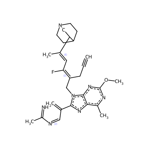 C#CC/C(Cn1c(C(=C)/C=N\C(C)=N)nc2c(C)nc(OC)nc21)=C(F)\C=C(/C)C1CN2CCC1CC2